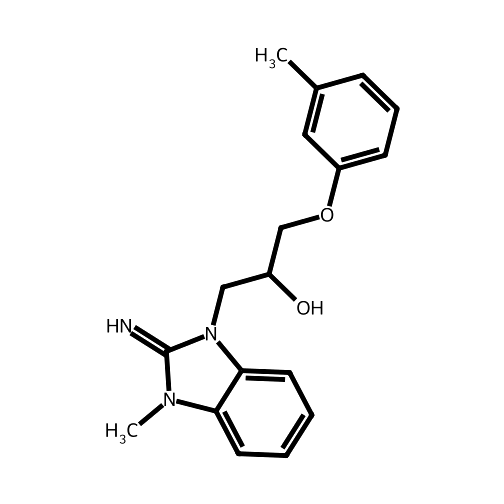 Cc1cccc(OCC(O)Cn2c(=N)n(C)c3ccccc32)c1